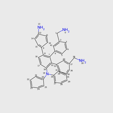 NCc1cccc(-c2c(-c3ccc(N)cc3)ccc(N(c3ccccc3)c3ccccc3)c2-c2cccc(CN)c2)c1